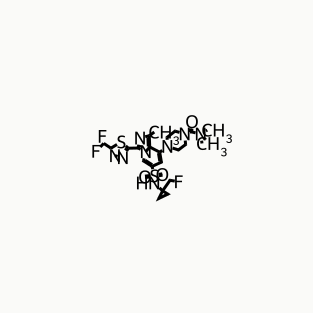 Cc1nc(-c2nnc(C(F)F)s2)n2cc(S(=O)(=O)NC3(CF)CC3)cc(N3CCN(C(=O)N(C)C)CC3)c12